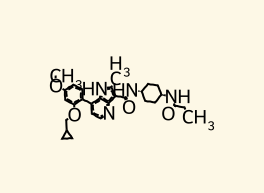 CCC(=O)N[C@H]1CC[C@H](NC(=O)c2c(C)[nH]c3c(-c4ccc(OC)cc4OCC4CC4)ccnc23)CC1